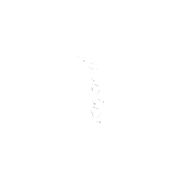 CC(C)(C)COC(=O)N1CCN(c2ccc(C(=O)Nc3ccc(O)cc3)cc2)CC1